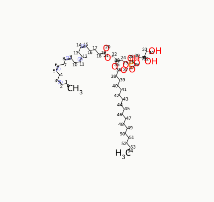 CC/C=C\C/C=C\C/C=C\C/C=C\C/C=C\CCCC(=O)OC[C@H](COP(=O)(O)OC[C@@H](O)CO)OC(=O)CCCCCCCCCCCCCCCCC